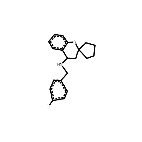 Clc1ccc(CNC2CC3(CCCC3)Oc3ccccc32)cc1